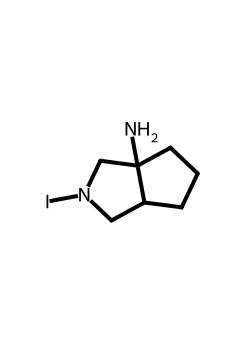 NC12CCCC1CN(I)C2